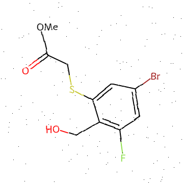 COC(=O)CSc1cc(Br)cc(F)c1CO